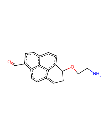 NCCOC1CC=c2ccc3c(C=O)ccc4ccc1c2c43